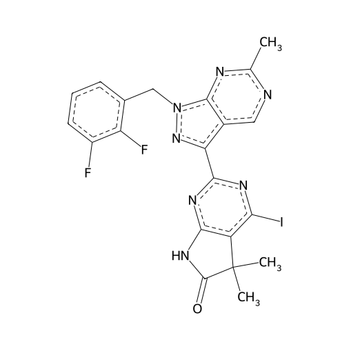 Cc1ncc2c(-c3nc(I)c4c(n3)NC(=O)C4(C)C)nn(Cc3cccc(F)c3F)c2n1